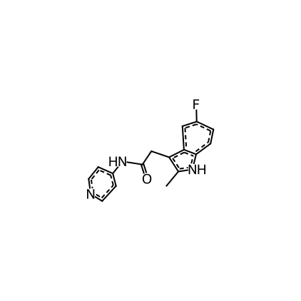 Cc1[nH]c2ccc(F)cc2c1CC(=O)Nc1ccncc1